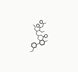 CCCC(CC1CC(=O)c2c(C)ccc(-c3cccc(CC)c3)c2C1)C(CC)C(=O)CC(C)=O